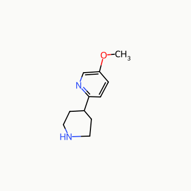 COc1ccc(C2CCNCC2)nc1